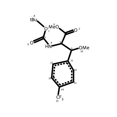 COC(=O)C(NC(=O)OC(C)(C)C)C(OC)c1ccc(C(F)(F)F)cc1